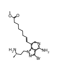 COC(=O)CCCCC/C=C/c1cnc(N)c2c(Br)nn(CC[C@@H](C)N)c12